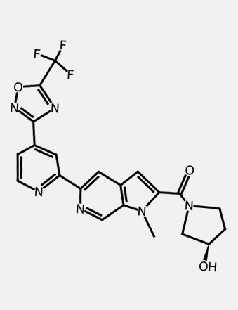 Cn1c(C(=O)N2CC[C@@H](O)C2)cc2cc(-c3cc(-c4noc(C(F)(F)F)n4)ccn3)ncc21